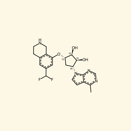 Cc1ncnc2c1ccn2[C@@H]1C[C@H](Oc2cc(C(F)F)cc3c2CNCC3)[C@@H](O)[C@H]1O